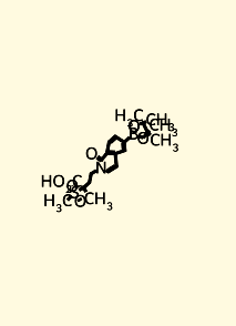 CC1(C)OB(c2ccc3c(=O)n(CCC(C)(C(=O)O)S(C)(=O)=O)ccc3c2)OC1(C)C